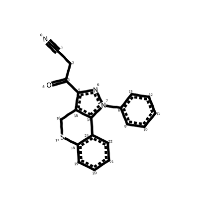 N#CCC(=O)c1nn(-c2ccccc2)c2c1CSc1ccccc1-2